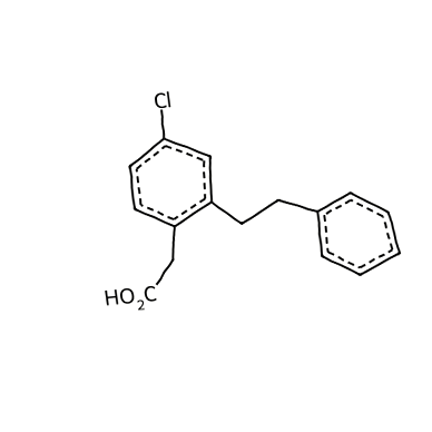 O=C(O)Cc1ccc(Cl)cc1CCc1ccccc1